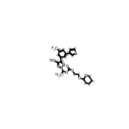 CC(OC(=O)OCCOC1CCCCO1)n1nc(C#N)c(-c2cc(-c3ccsc3)cc(C(F)(F)F)c2)n1